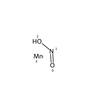 O=NO.[Mn]